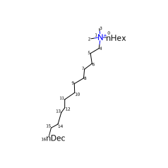 [CH2]CCCCC[N+](C)(C)CCCCCCCCCCCCCCCCCCCCCC